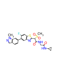 Cn1ncc2ccc(-c3cc4nc(C(C(=O)NCC(=O)NC5CC5)S(C)(=O)=O)sc4cc3F)cc21